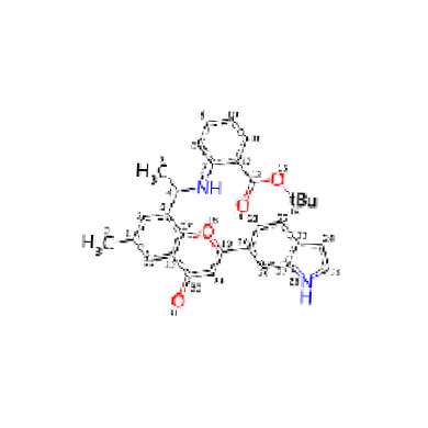 Cc1cc(C(C)Nc2ccccc2C(=O)OC(C)(C)C)c2oc(-c3ccc4cc[nH]c4c3)cc(=O)c2c1